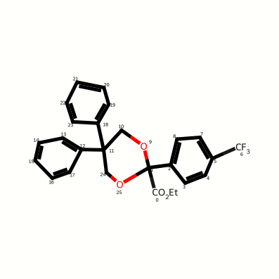 CCOC(=O)C1(c2ccc(C(F)(F)F)cc2)OCC(c2ccccc2)(c2ccccc2)CO1